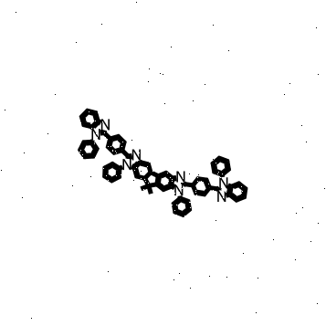 CC1(C)c2cc3c(cc2C2C=c4nc(-c5ccc(-c6nc7ccccc7n6-c6ccccc6)cc5)n(-c5ccccc5)c4=CC21)nc(C1C=CC(c2nc4ccccc4n2-c2ccccc2)=CC1)n3-c1ccccc1